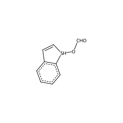 O=CO[SH]1C=Cc2ccccc21